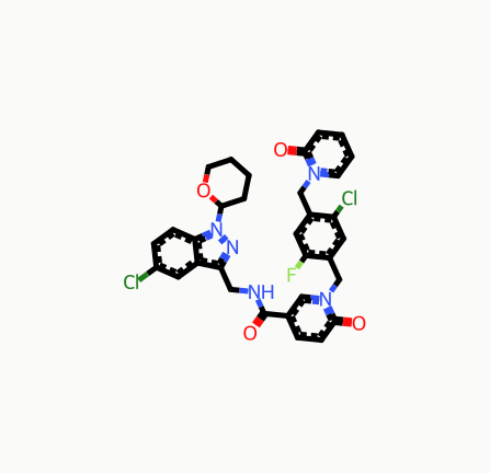 O=C(NCc1nn(C2CCCCO2)c2ccc(Cl)cc12)c1ccc(=O)n(Cc2cc(Cl)c(Cn3ccccc3=O)cc2F)c1